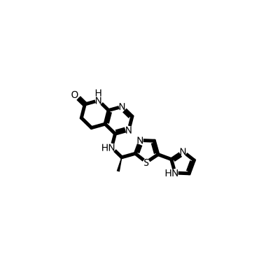 C[C@@H](Nc1ncnc2c1CCC(=O)N2)c1ncc(-c2ncc[nH]2)s1